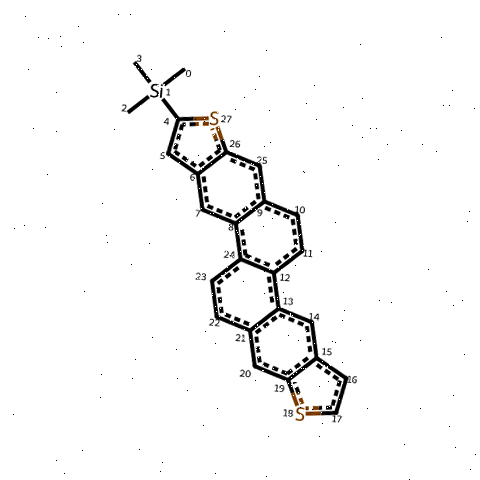 C[Si](C)(C)c1cc2cc3c(ccc4c5cc6ccsc6cc5ccc34)cc2s1